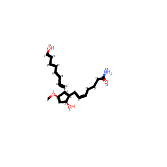 CO[C@@H]1C[C@H](O)C(C/C=C\CCCC(N)=O)[C@H]1/C=C/CCCCCCO